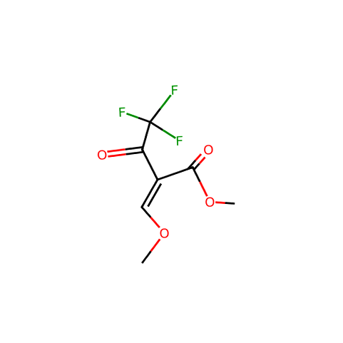 CO/C=C(\C(=O)OC)C(=O)C(F)(F)F